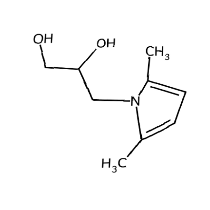 Cc1ccc(C)n1CC(O)CO